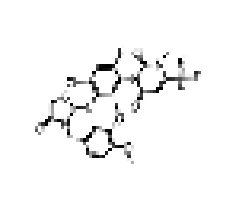 COc1ccc(CN2C(=O)CSC2=Nc2cc(-n3c(=O)cc(C(F)(F)F)n(C)c3=O)c(F)cc2Cl)cc1OC